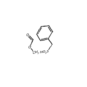 COC=O.O=S(=O)(O)Cc1ccccc1